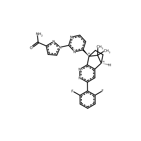 CC1(C)[C@H]2CC[C@@]1(c1ccnc(-n3ccc(C(N)=O)n3)n1)c1nnc(-c3c(F)cccc3F)cc12